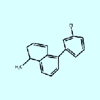 CC1CC=Cc2c(-c3cccc(Cl)c3)cccc21